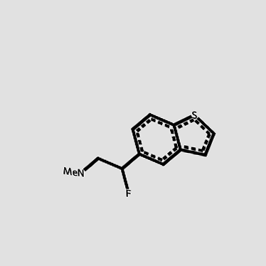 CNCC(F)c1ccc2sccc2c1